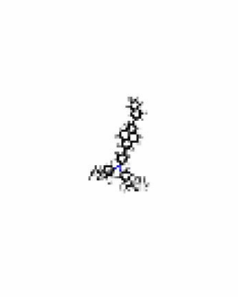 C[Si](C)(C)c1ccc(N(c2ccc(-c3cc4c5c(c3)CCc3cc(-c6ccc7ccccc7c6)cc(c3-5)CC4)cc2)c2ccc([Si](C)(C)C)cc2)cc1